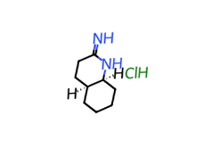 Cl.N=C1CC[C@@H]2CCCC[C@@H]2N1